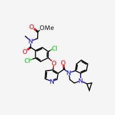 COC(=O)CN(C)C(=O)c1cc(Cl)c(Oc2ccncc2C(=O)N2CCN(C3CC3)c3ccccc32)cc1Cl